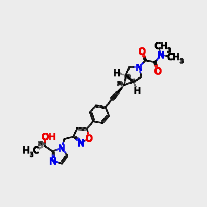 C[C@H](O)c1nccn1Cc1cc(-c2ccc(C#C[C@H]3[C@H]4CN(C(=O)C(=O)N(C)C)C[C@@H]34)cc2)on1